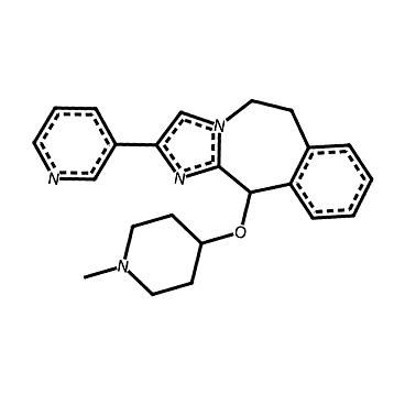 CN1CCC(OC2c3ccccc3CCn3cc(-c4cccnc4)nc32)CC1